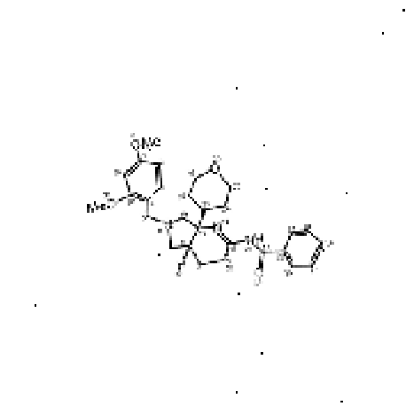 COc1ccc(CN2C[C@H]3CSC(NC(=O)c4ccccc4)=N[C@@]3(C3CCOCC3)C2)c(OC)c1